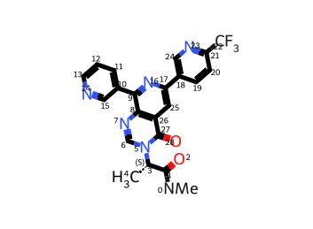 CNC(=O)[C@H](C)n1cnc2c(-c3cccnc3)nc(-c3ccc(C(F)(F)F)nc3)cc2c1=O